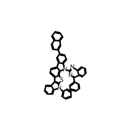 c1ccc(-c2nc(-n3c4ccc(-c5ccc6ccccc6c5)cc4c4ccc5c(sc6c5c5ccccc5n6-c5ccccc5)c43)nc3ccccc23)cc1